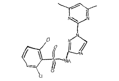 Cc1cc(C)nc(-n2cnc(NS(=O)(=O)c3c(Cl)cccc3Cl)n2)n1